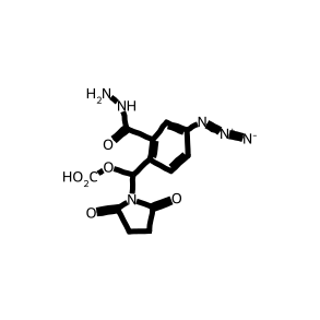 [N-]=[N+]=Nc1ccc(C(OC(=O)O)N2C(=O)CCC2=O)c(C(=O)NN)c1